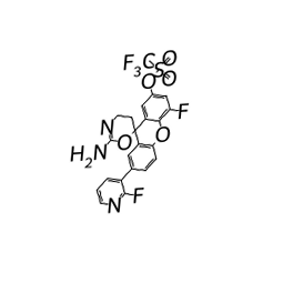 NC1=NCCC2(O1)c1cc(-c3cccnc3F)ccc1Oc1c(F)cc(OS(=O)(=O)C(F)(F)F)cc12